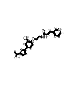 CC(O)c1ccc(-c2ccc(OCCNC(=O)C=Cc3cccnc3)c(Cl)c2)s1